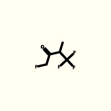 CC(C(=O)CF)C(F)(F)F